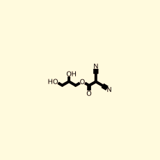 N#CC(C#N)C(=O)OCC(O)CO